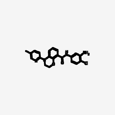 Cc1ccc(N2CCOc3c(C(=O)Nc4ccc(Cl)c(N)c4)cccc32)nc1